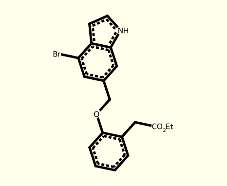 CCOC(=O)Cc1ccccc1OCc1cc(Br)c2cc[nH]c2c1